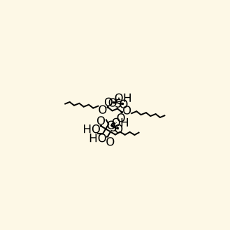 CCCCCCC(C(=O)O)(C(CC)(CC)C(=O)O)S(=O)(=O)O.CCCCCCCCOC(=O)CC(C(=O)OCCCCCCCC)S(=O)(=O)O